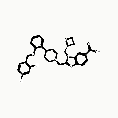 O=C(O)c1ccc2nc(CN3CCC(c4ccccc4OCc4ccc(Cl)cc4Cl)CC3)n(C[C@@H]3CCO3)c2c1